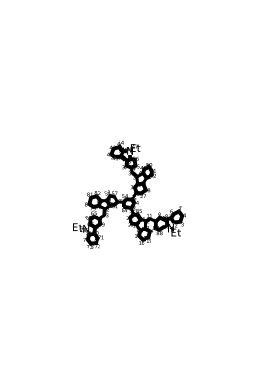 CCn1c2ccccc2c2cc(/C=C3\c4ccccc4-c4ccc(-c5cc(-c6ccc7c(c6)/C(=C/c6ccc8c(c6)c6ccccc6n8CC)c6ccccc6-7)cc(-c6ccc7c(c6)/C(=C/c6ccc8c(c6)c6ccccc6n8CC)c6ccccc6-7)c5)cc43)ccc21